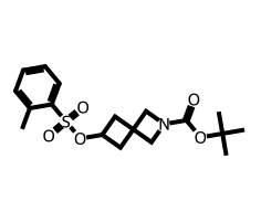 Cc1ccccc1S(=O)(=O)OC1CC2(C1)CN(C(=O)OC(C)(C)C)C2